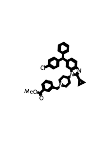 COC(=O)c1cccc(CN2CCC(n3c(C4CC4)nc4ccc(C(c5ccccc5)c5ccc(Cl)cc5)cc43)CC2)c1